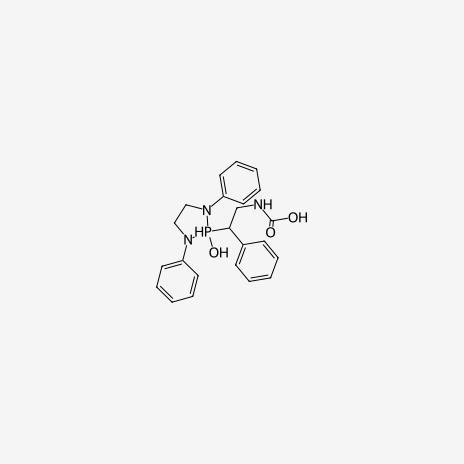 O=C(O)NCC(c1ccccc1)[PH]1(O)N(c2ccccc2)CCN1c1ccccc1